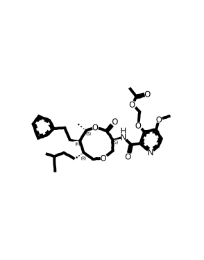 COc1ccnc(C(=O)N[C@H]2COC[C@H](CCC(C)C)[C@@H](CCc3ccccc3)[C@H](C)OC2=O)c1OCOC(C)=O